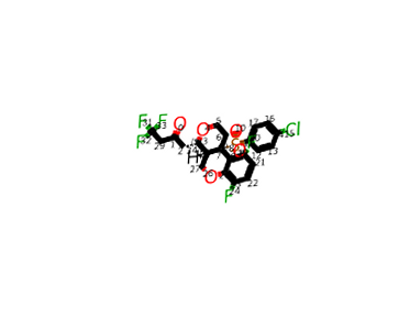 O=C(C[C@@H]1OCC[C@@]2(S(=O)(=O)c3ccc(Cl)cc3)c3c(F)ccc(F)c3OC[C@@H]12)CC(F)(F)F